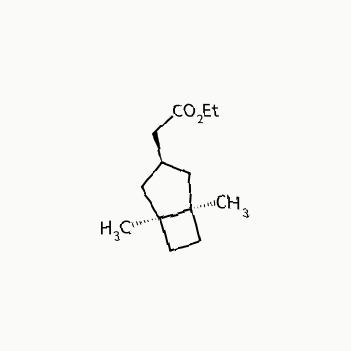 CCOC(=O)C[C@@H]1C[C@]2(C)CC[C@]2(C)C1